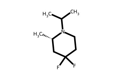 CC(C)N1CCC(F)(F)C[C@@H]1C